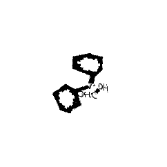 O=[C-]O.c1ccc([I+]c2ccccc2)cc1